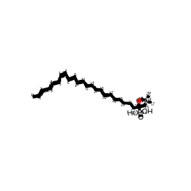 CCCCCC/C=C\CCCCCCCCCCCCCCCC(O)(C[N+](C)(C)C)P(=O)(O)O